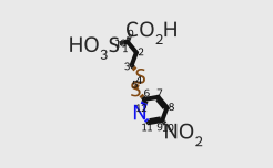 O=C(O)C(CCSSc1ccc([N+](=O)[O-])cn1)S(=O)(=O)O